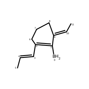 BC1=C(C=CC)CCCC1=CC